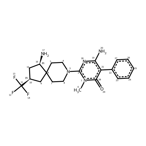 Cn1c(N2CCC3(CC2)C[C@@H](C(F)(F)F)C[C@H]3N)nc(N)c(-c2ccccc2)c1=O